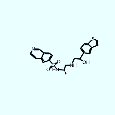 C[C@H](CNCC(O)c1ccc2sccc2c1)NS(=O)(=O)c1ccc2cnccc2c1